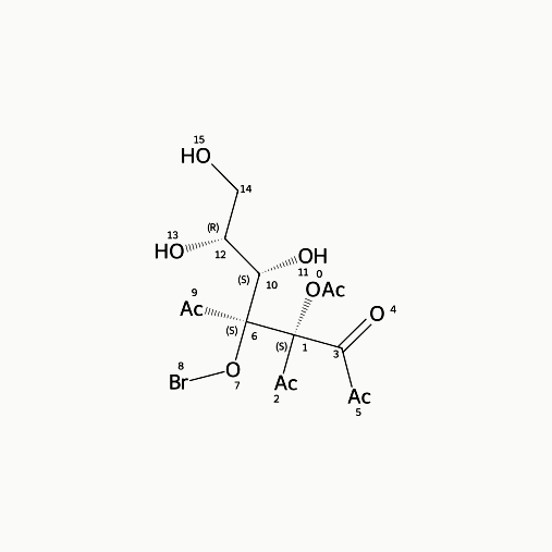 CC(=O)O[C@@](C(C)=O)(C(=O)C(C)=O)[C@](OBr)(C(C)=O)[C@@H](O)[C@H](O)CO